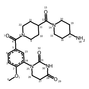 COc1ccc(C(=O)N2CCC(C(=O)N3CCC(N)CC3)CC2)cc1N1CCC(=O)NC1=O